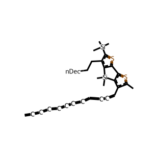 C=C=C=C=C=C=C=C=C=C=C=Cc1c(C)sc2c1[Si](C)(C)c1c-2sc([Si](C)(C)C)c1CCCCCCCCCCCC